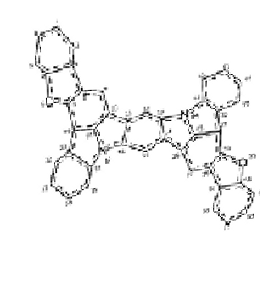 c1ccc2c(c1)oc1c2cc2c3cc4c(cc3n3c5ccccc5c1c23)c1cc2c3ccccc3oc2c2c3ccccc3n4c12